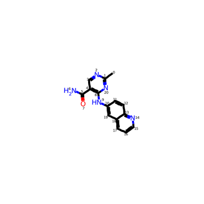 Cc1ncc(C(N)=O)c(Nc2ccc3ncccc3c2)n1